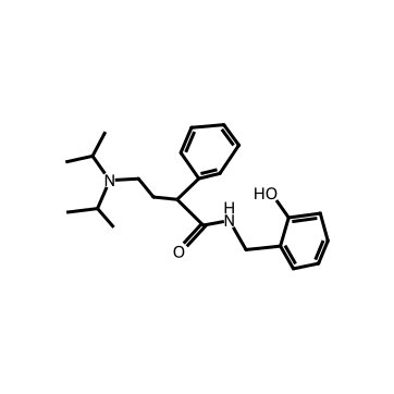 CC(C)N(CCC(C(=O)NCc1ccccc1O)c1ccccc1)C(C)C